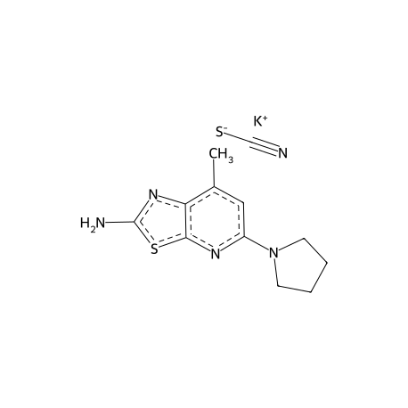 Cc1cc(N2CCCC2)nc2sc(N)nc12.N#C[S-].[K+]